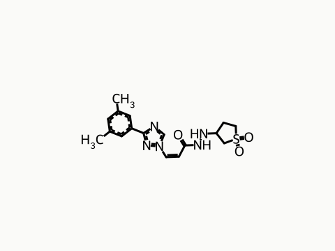 Cc1cc(C)cc(-c2ncn(/C=C\C(=O)NNC3CCS(=O)(=O)C3)n2)c1